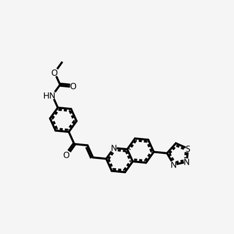 COC(=O)Nc1ccc(C(=O)C=Cc2ccc3cc(-c4csnn4)ccc3n2)cc1